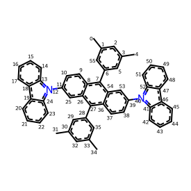 Cc1cc(C)cc(-c2c3ccc(-n4c5ccccc5c5ccccc54)cc3c(-c3cc(C)cc(C)c3)c3ccc(-n4c5ccccc5c5ccccc54)cc23)c1